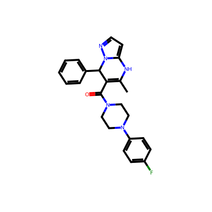 CC1=C(C(=O)N2CCN(c3ccc(F)cc3)CC2)C(c2ccccc2)n2nccc2N1